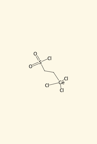 O=S(=O)(Cl)C[CH2][Ge]([Cl])([Cl])[Cl]